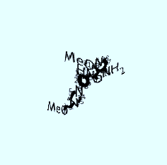 COCCN1CCN(c2ccc(NC(=O)c3c(N)ccnc3OC)cc2)CC1